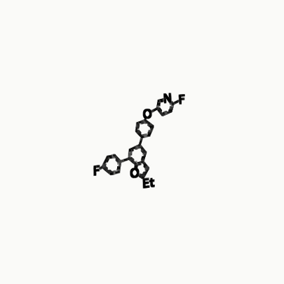 CCc1cc2cc(-c3ccc(Oc4ccc(F)nc4)cc3)cc(-c3ccc(F)cc3)c2o1